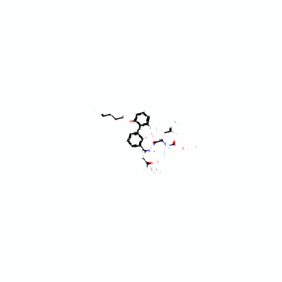 C=CCCCOc1cccc(C)c1-c1cccc([C@H](CC(=O)OC)NC(=O)[C@H](CC=C)NC(=O)OC(C)(C)C)c1